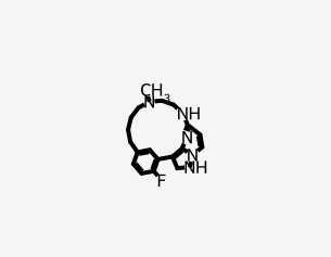 CN1CCCCc2ccc(F)c(c2)C2=C3N=C(C=CN3NC2)NCC1